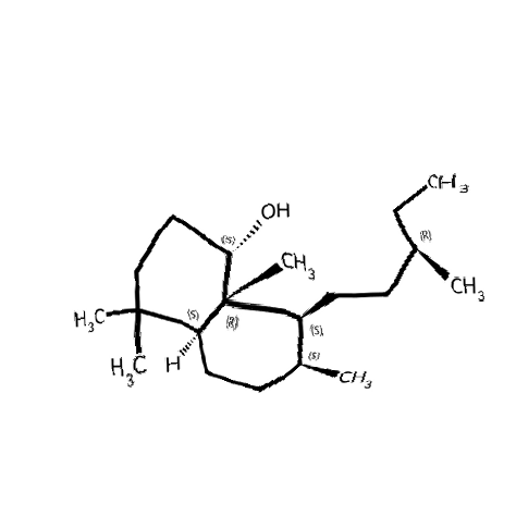 CC[C@@H](C)CC[C@H]1[C@@H](C)CC[C@H]2C(C)(C)CC[C@H](O)[C@]12C